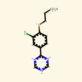 O=C(O)CCSc1ccc(-c2ncncn2)cc1Cl